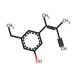 C#C/C(C)=C(/C)c1cc(O)cc(CC)c1